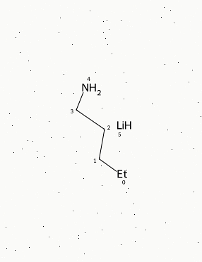 CCCCCN.[LiH]